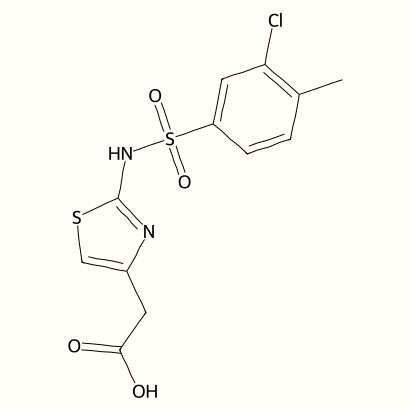 Cc1ccc(S(=O)(=O)Nc2nc(CC(=O)O)cs2)cc1Cl